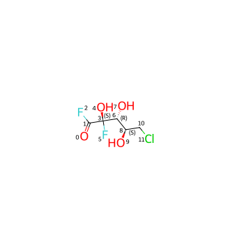 O=C(F)[C@@](O)(F)[C@H](O)[C@H](O)CCl